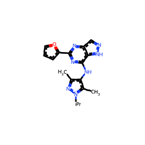 Cc1nn(C(C)C)c(C)c1Nc1nc(-c2ccco2)nc2cn[nH]c12